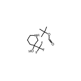 CC(C)(C)OC=O.OC1(C(F)(F)F)CCCNC1